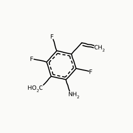 C=Cc1c(F)c(N)c(C(=O)O)c(F)c1F